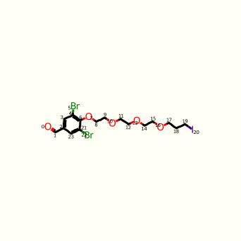 O=Cc1cc(Br)c(OCCOCCOCCOCCCI)c(Br)c1